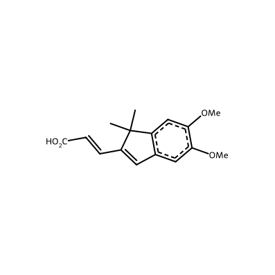 COc1cc2c(cc1OC)C(C)(C)C(C=CC(=O)O)=C2